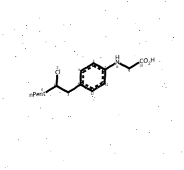 CCCCCC(Cl)Cc1ccc(NCC(=O)O)cc1